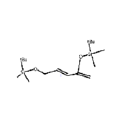 C=C(/C=C/CO[Si](C)(C)C(C)(C)C)O[Si](C)(C)C(C)(C)C